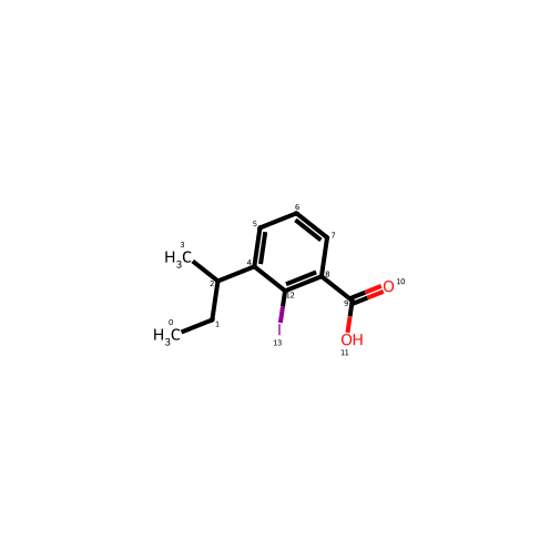 CCC(C)c1cccc(C(=O)O)c1I